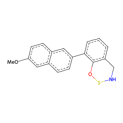 COc1ccc2cc(-c3cccc4c3OSNC4)ccc2c1